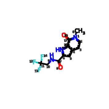 Cn1ccc2cc(C(=O)NCC(F)(F)F)[nH]c2c1=O